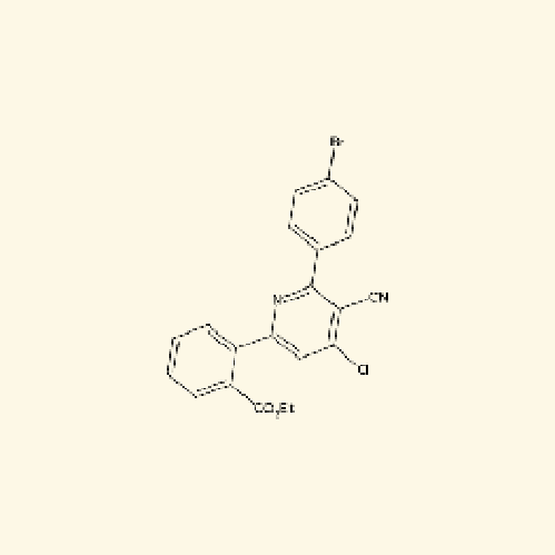 CCOC(=O)c1ccccc1-c1cc(Cl)c(C#N)c(-c2ccc(Br)cc2)n1